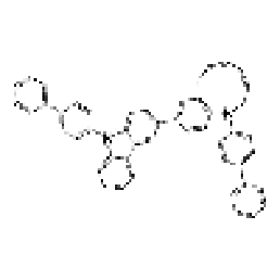 C1=C\Cc2cc(-c3ccc4c(c3)c3ccccc3n4-c3ccc(-c4ccccc4)cc3)ccc2N(c2ccc(-c3ccccc3)cc2)C\C=C/1